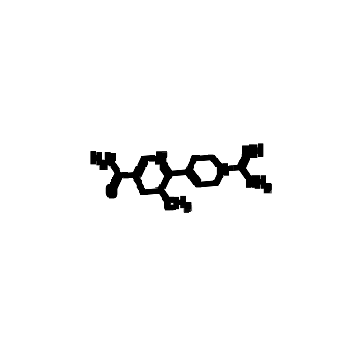 CC1CC(C(N)=O)=CN=C1C1=CCN(C(=N)N)CC1